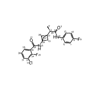 C[C@@H](C(=O)Nc1ccc(F)cc1)C12CC(NC(=O)c3cccc(Cl)c3F)(C1)C2